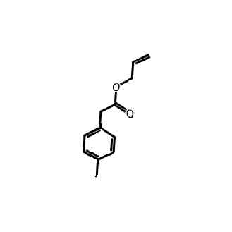 C=CCOC(=O)Cc1ccc(C)cc1